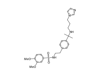 COc1ccc(S(=O)(=O)NCCc2ccc(C(C)(C)NCCCn3ccnc3)cc2)cc1OC